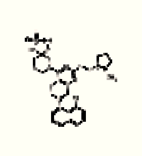 CN1CCC[C@H]1COc1nc2c(c(N3CCCC4(CNS(=O)(=O)N4)C3)n1)CCN(c1cccc3cccc(Cl)c13)C2